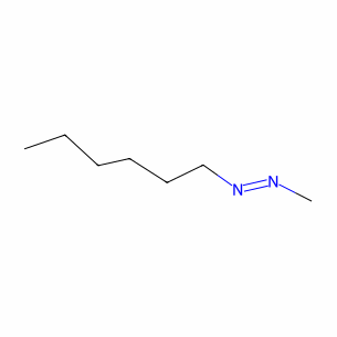 CCCCCCN=NC